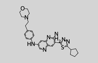 Nc1nc2cc(Nc3ccc(CCN4CCOCC4)cc3)cnc2cc1-c1nnc(C2CCCC2)s1